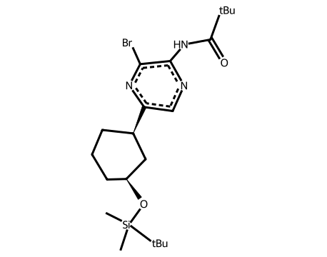 CC(C)(C)C(=O)Nc1ncc([C@@H]2CCC[C@H](O[Si](C)(C)C(C)(C)C)C2)nc1Br